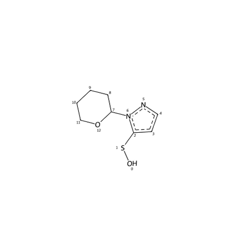 OSc1ccnn1C1CCCCO1